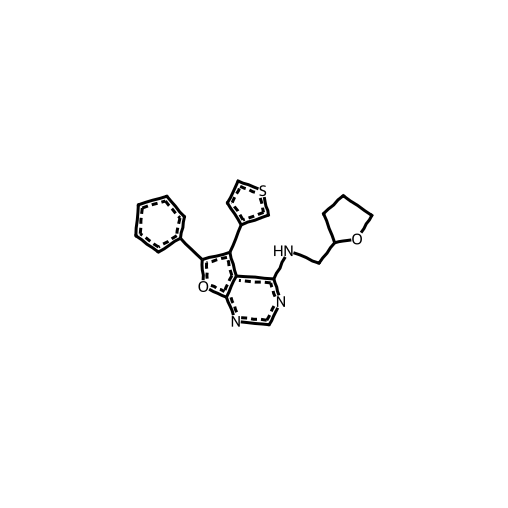 c1ccc(-c2oc3ncnc(NCC4CCCO4)c3c2-c2ccsc2)cc1